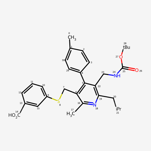 Cc1ccc(-c2c(CSc3cccc(C(=O)O)c3)c(C)nc(CC(C)C)c2CNC(=O)OC(C)(C)C)cc1